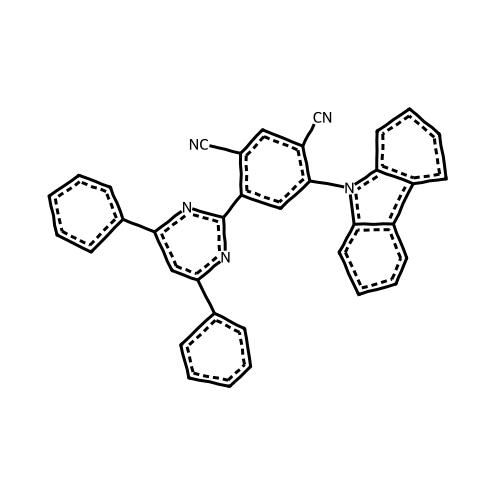 N#Cc1cc(C#N)c(-n2c3ccccc3c3ccccc32)cc1-c1nc(-c2ccccc2)cc(-c2ccccc2)n1